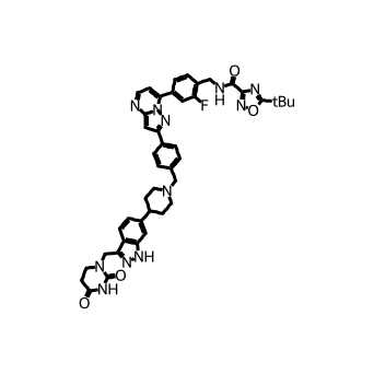 CC(C)(C)c1nc(C(=O)NCc2ccc(-c3ccnc4cc(-c5ccc(CN6CCC(c7ccc8c(CN9CCC(=O)NC9=O)n[nH]c8c7)CC6)cc5)nn34)cc2F)no1